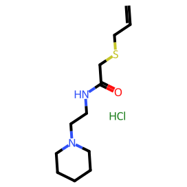 C=CCSCC(=O)NCCN1CCCCC1.Cl